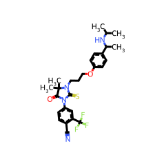 CC(C)NC(C)c1ccc(OCCCN2C(=S)N(c3ccc(C#N)c(C(F)(F)F)c3)C(=O)C2(C)C)cc1